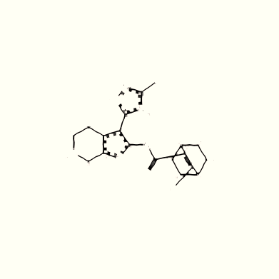 Cc1noc(-c2c(NC(=O)C3=C(C(=O)O)C4CCC3CC4)sc3c2CCOC3)n1